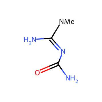 CNC(N)=NC(N)=O